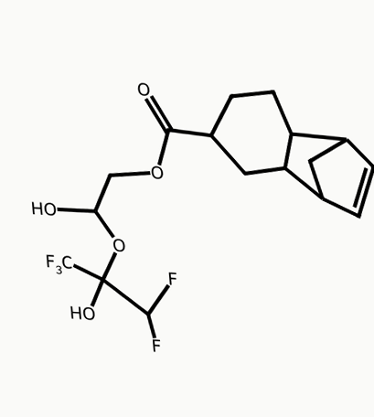 O=C(OCC(O)OC(O)(C(F)F)C(F)(F)F)C1CCC2C3C=CC(C3)C2C1